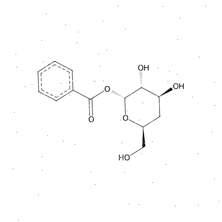 O=C(O[C@H]1O[C@H](CO)C[C@H](O)[C@H]1O)c1ccccc1